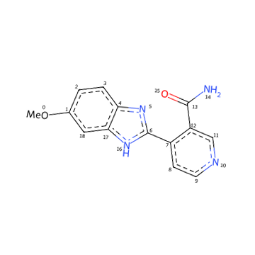 COc1ccc2nc(-c3ccncc3C(N)=O)[nH]c2c1